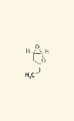 CCC1C[C@H]2O[C@H]2O1